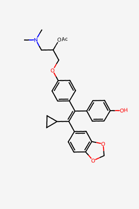 CC(=O)OC(COc1ccc(C(=C(c2ccc3c(c2)OCO3)C2CC2)c2ccc(O)cc2)cc1)CN(C)C